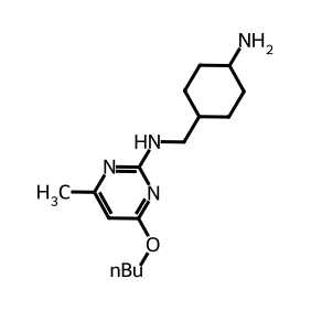 CCCCOc1cc(C)nc(NCC2CCC(N)CC2)n1